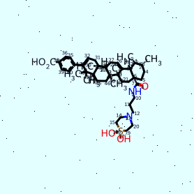 C[C@H]1[C@H](C)CC[C@]2(C(=O)NCCCN3CCS(O)(O)CC3)CC[C@]3(C)C(=CC[C@@H]4[C@@]5(C)CC=C(c6ccc(C(=O)O)cc6)C(C)(C)[C@@H]5CC[C@]43C)[C@H]12